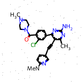 CNc1ccc(C#Cc2c(C)nc(N)nc2-c2ccc(C(=O)N3CCN(C)CC3)c(Cl)c2)cn1